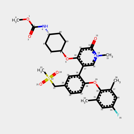 COC(=O)N[C@H]1CC[C@H](Oc2cc(=O)n(C)cc2-c2cc(CS(C)(=O)=O)ccc2Oc2c(C)cc(F)cc2C)CC1